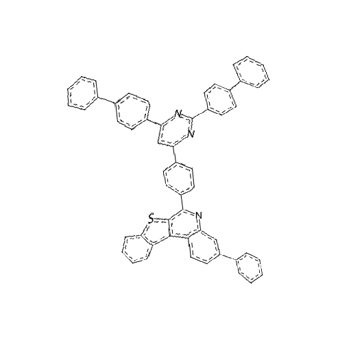 c1ccc(-c2ccc(-c3cc(-c4ccc(-c5nc6cc(-c7ccccc7)ccc6c6c5sc5ccccc56)cc4)nc(-c4ccc(-c5ccccc5)cc4)n3)cc2)cc1